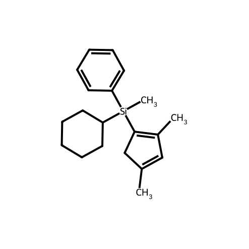 CC1=CC(C)=C([Si](C)(c2ccccc2)C2CCCCC2)C1